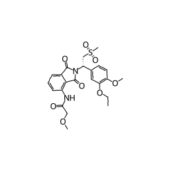 CCOc1cc([C@@H](CS(C)(=O)=O)N2C(=O)c3cccc(NC(=O)COC)c3C2=O)ccc1OC